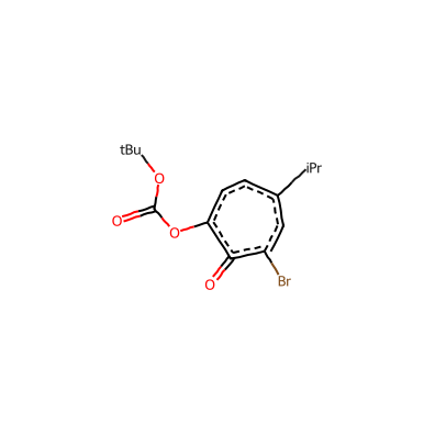 CC(C)c1ccc(OC(=O)OC(C)(C)C)c(=O)c(Br)c1